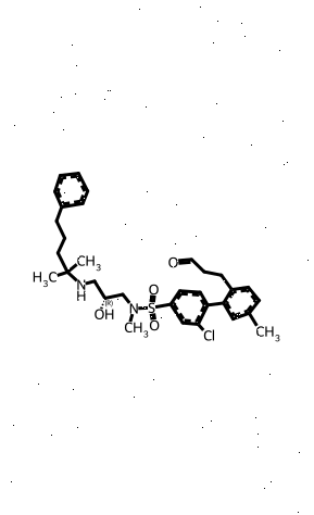 Cc1ccc(CCC=O)c(-c2ccc(S(=O)(=O)N(C)C[C@H](O)CNC(C)(C)CCCc3ccccc3)cc2Cl)c1